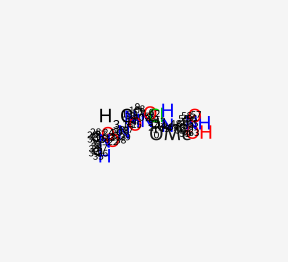 COc1cc(NC(=O)c2cccc(N(C)C(=O)CCN3CCC(OC(=O)Nc4ccccc4-c4ccccc4)CC3)c2)c(Cl)cc1CNCCc1ccc(O)c2[nH]c(=O)ccc12